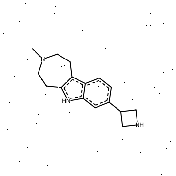 CN1CCc2[nH]c3cc(C4CNC4)ccc3c2CC1